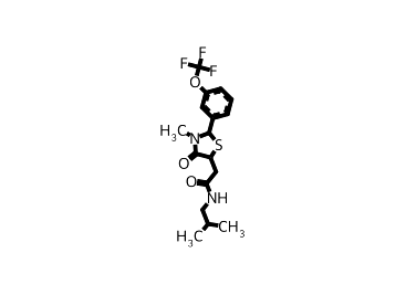 CC(C)CNC(=O)CC1SC(c2cccc(OC(F)(F)F)c2)N(C)C1=O